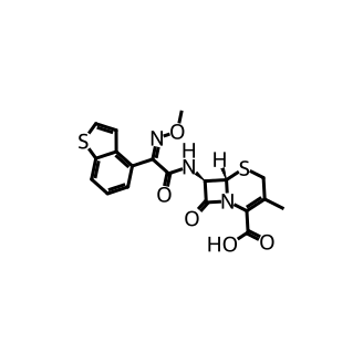 CON=C(C(=O)N[C@@H]1C(=O)N2C(C(=O)O)=C(C)CS[C@@H]12)c1cccc2sccc12